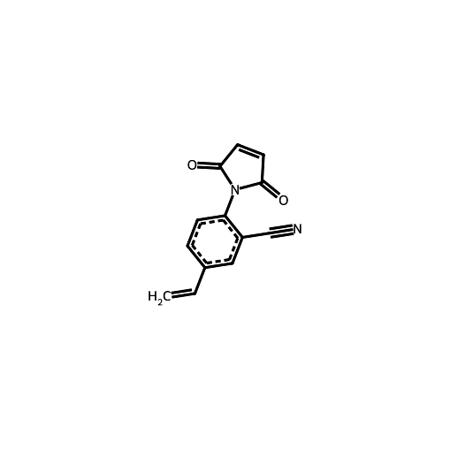 C=Cc1ccc(N2C(=O)C=CC2=O)c(C#N)c1